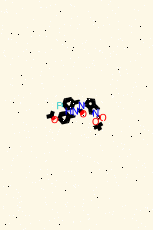 CC(C)Oc1ccc(CNC(=O)N(Cc2ccc(F)cc2)C2CCC3CN(C(=O)OC(C)(C)C)CC32)cc1